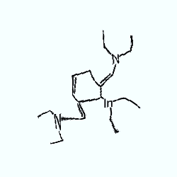 CCN(C=C1C=CCC(=CN(CC)CC)[CH]1[In]([CH2]C)[CH2]C)CC